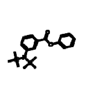 C[Si](C)(C)N(c1cccc(C(=O)Oc2ccccc2)c1)[Si](C)(C)C